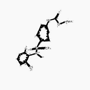 CCCCCOC(=O)Nc1ccc(S(=O)(=O)N(C)c2c(Cl)cccc2Cl)cc1